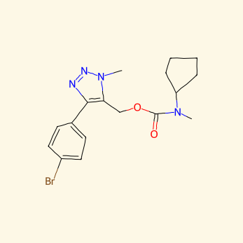 CN(C(=O)OCc1c(-c2ccc(Br)cc2)nnn1C)C1CCCC1